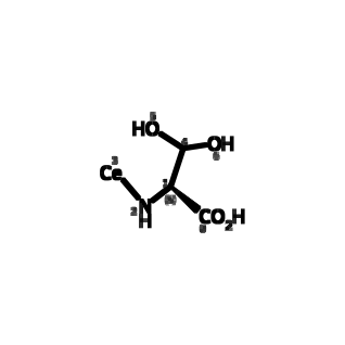 O=C(O)[C@@H]([NH][Ce])C(O)O